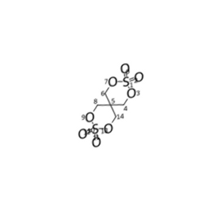 O=S1(=O)OCC2(CO1)COS(=O)(=O)OC2